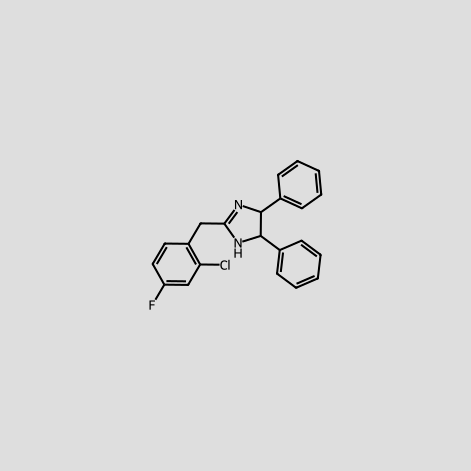 Fc1ccc(CC2=NC(c3ccccc3)C(c3ccccc3)N2)c(Cl)c1